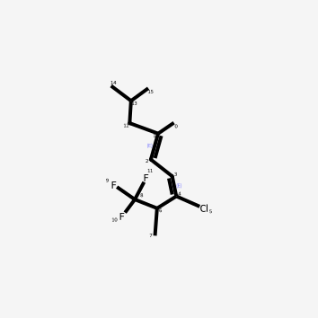 C/C(=C\C=C(\Cl)C(C)C(F)(F)F)CC(C)C